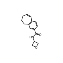 O=C(NC1COC1)c1ccc2c(c1)CCCC=C2